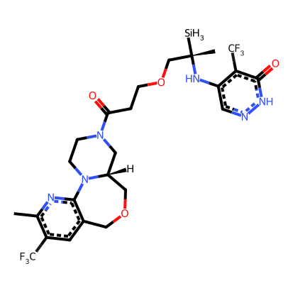 Cc1nc2c(cc1C(F)(F)F)COC[C@H]1CN(C(=O)CCOC[C@](C)([SiH3])Nc3cn[nH]c(=O)c3C(F)(F)F)CCN21